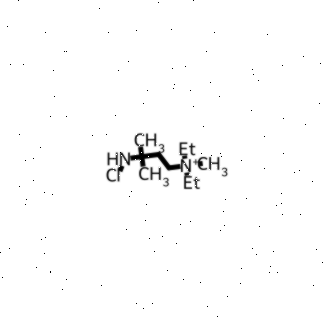 CC[N+](C)(CC)CCC(C)(C)NCl